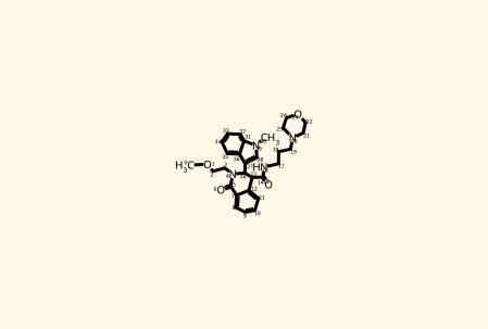 COCCN1C(=O)c2ccccc2C(C(=O)NCCCN2CCOCC2)C1c1cn(C)c2ccccc12